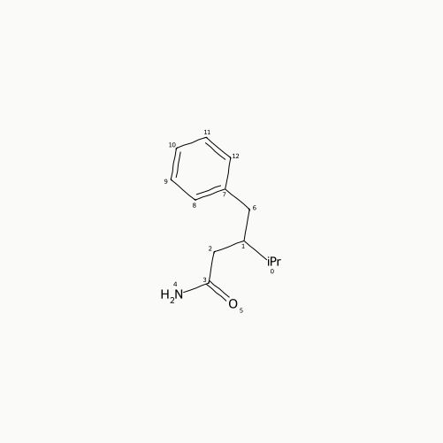 CC(C)C(CC(N)=O)Cc1ccccc1